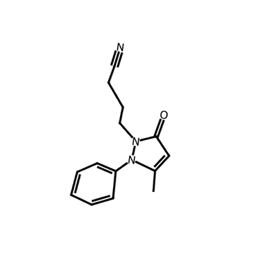 Cc1cc(=O)n(CCCC#N)n1-c1ccccc1